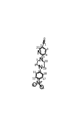 C#Cc1ccc(N2CCN(c3ccc([N+](=O)[O-])cc3)CC2)nc1